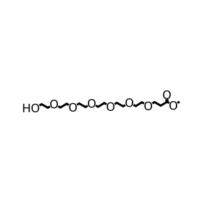 COC(=O)CCOCCOCCOCCOCCOCCOCCO